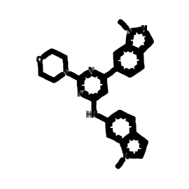 Cn1ccc2ccc(Nc3cc(-c4ccc5cnn(C)c5c4)nc(N4CCOCC4)n3)cc21